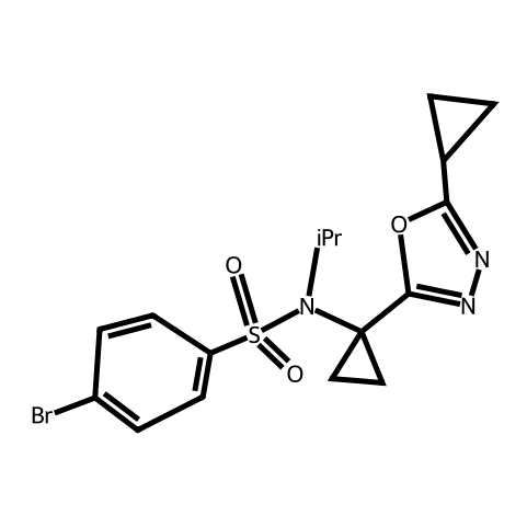 CC(C)N(C1(c2nnc(C3CC3)o2)CC1)S(=O)(=O)c1ccc(Br)cc1